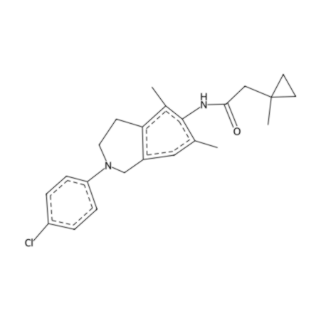 Cc1cc2c(c(C)c1NC(=O)CC1(C)CC1)CCN(c1ccc(Cl)cc1)C2